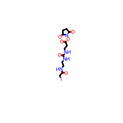 O=C(CI)NCCNC(=O)NCCC(=O)ON1C(=O)CCC1=O